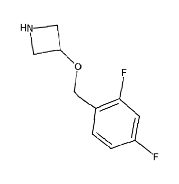 Fc1ccc(COC2CNC2)c(F)c1